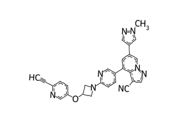 C#Cc1ccc(OC2CN(c3ccc(-c4cc(-c5cnn(C)c5)cn5ncc(C#N)c45)cn3)C2)cn1